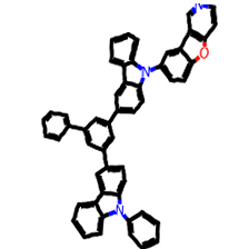 c1ccc(-c2cc(-c3ccc4c(c3)c3ccccc3n4-c3ccccc3)cc(-c3ccc4c(c3)c3ccccc3n4-c3ccc4oc5ccncc5c4c3)c2)cc1